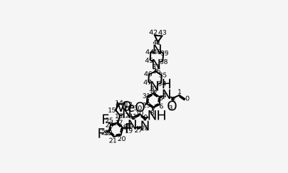 C=CC(=O)Nc1cc(Nc2cc(N3OCCC3c3c(F)ccc(F)c3F)ncn2)c(OC)cc1N1CCC(N2CCN(C3CC3)CC2)CC1